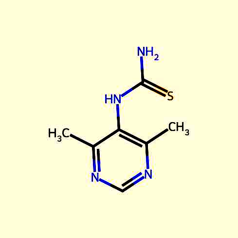 Cc1ncnc(C)c1NC(N)=S